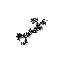 CS(=O)(=O)c1cncc(COc2nc(O[C@H]3CCc4c(-c5cccc6c5CC[C@@H]6Oc5nc(OCc6cncc(S(C)(=O)=O)c6)c(CNCCO)cc5Cl)cccc43)c(Cl)cc2CNCCO)c1